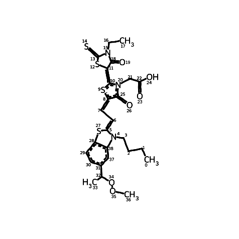 CCCCN1/C(=C/C=c2/s/c(=C3\SC(=S)N(CC)C3=O)n(CC(=O)O)c2=O)Sc2ccc(C(C)OOC)cc21